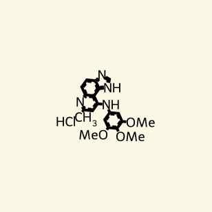 COc1cc(Nc2cc(C)nc3ccc4nc[nH]c4c23)cc(OC)c1OC.Cl